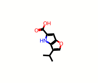 CC(C)c1coc2cc(C(=O)O)[nH]c12